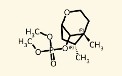 COP(=O)(OC)OC1C2C[C@@H](C)[C@@]1(C)CCO2